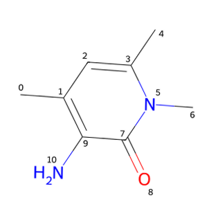 Cc1cc(C)n(C)c(=O)c1N